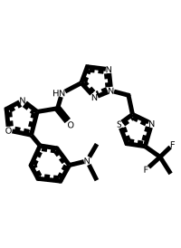 CN(C)c1cccc(-c2ocnc2C(=O)Nc2cnn(Cc3nc(C(C)(F)F)cs3)n2)c1